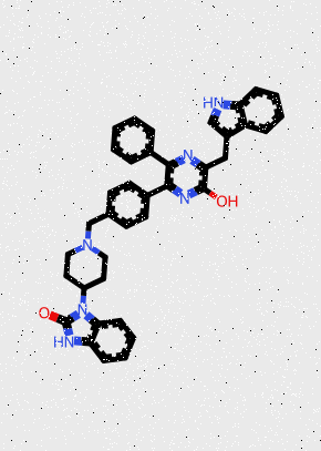 O=c1[nH]c2ccccc2n1C1CCN(Cc2ccc(-c3nc(O)c(Cc4c[nH]c5ccccc45)nc3-c3ccccc3)cc2)CC1